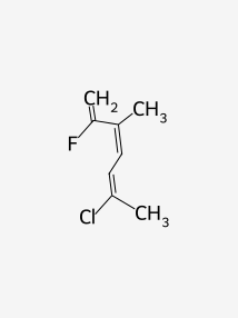 C=C(F)/C(C)=C\C=C(/C)Cl